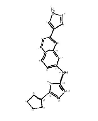 c1n[nH]cc1-c1cnc2ccc(Nc3nnc(C4CCCC4)s3)nc2c1